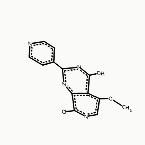 COc1cnc(Cl)c2nc(-c3ccncc3)nc(O)c12